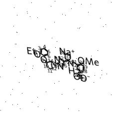 CCOc1ccccc1OC1CCCN(c2ncc(C(=O)NCc3cc(S(=O)[O-])ccc3OC)cn2)C1.[Na+]